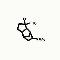 CCC1(C=O)CCC2C3CC(OC)C(C3)C21